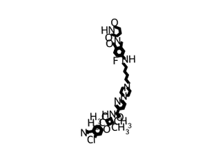 CC1(C)[C@H](NC(=O)c2ccc(N3CCN(CCCCCCNc4cc5c(cc4F)C(=O)N(C4CCC(=O)NC4=O)C5)CC3)nc2)C(C)(C)[C@H]1Oc1ccc(C#N)c(Cl)c1